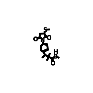 CBC(=O)C(C)(C)C(C)c1ccc(N2C(=O)CC(SC)C2=O)cc1